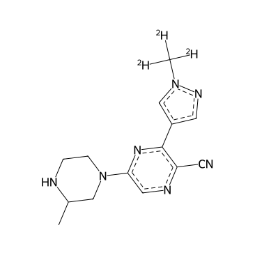 [2H]C([2H])([2H])n1cc(-c2nc(N3CCNC(C)C3)cnc2C#N)cn1